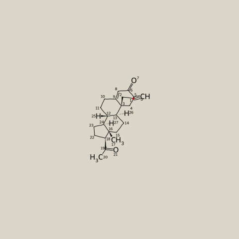 C#CC[C@]12CCC(=O)C=C1CC[C@@H]1[C@@H]2CC[C@]2(C)[C@@H](C(C)=O)CC[C@@H]12